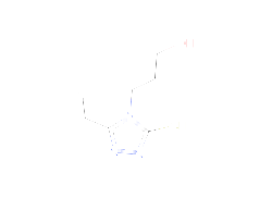 CCc1nnc(S)n1CCCO